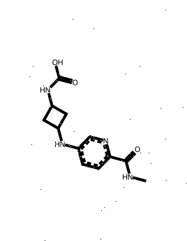 CNC(=O)c1ccc(NC2CC(NC(=O)O)C2)cn1